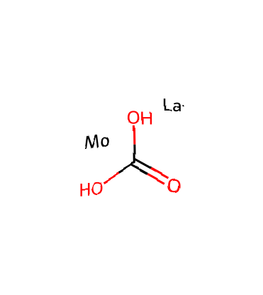 O=C(O)O.[La].[Mo]